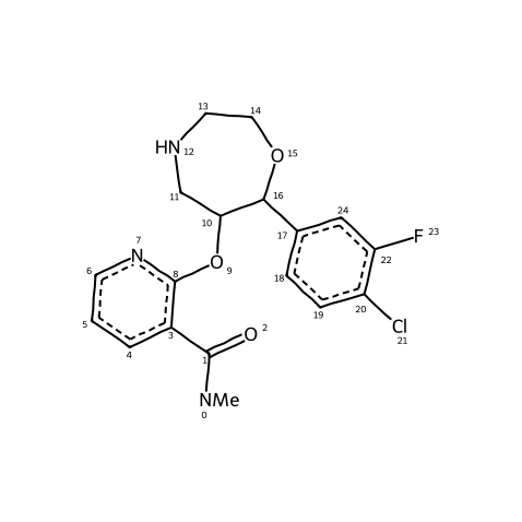 CNC(=O)c1cccnc1OC1CNCCOC1c1ccc(Cl)c(F)c1